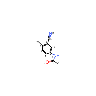 CC(=O)Nc1ccc(C)c(C#N)c1